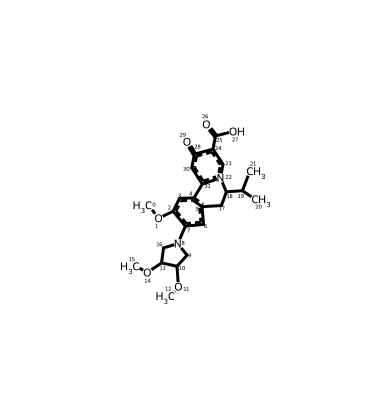 COc1cc2c(cc1N1CC(OC)C(OC)C1)CC(C(C)C)n1cc(C(=O)O)c(=O)cc1-2